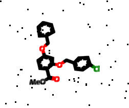 COC(=O)c1ccc(OCc2ccccc2)cc1OCc1ccc(Cl)cc1